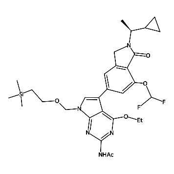 CCOc1nc(NC(C)=O)nc2c1c(-c1cc3c(c(OC(F)F)c1)C(=O)N([C@@H](C)C1CC1)C3)cn2COCC[Si](C)(C)C